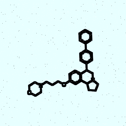 c1ccc(-c2ccc(C3CN4CCCC4c4cc(OCCCN5CCOCC5)ccc43)cc2)cc1